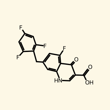 O=C(O)c1c[nH]c2cc(Cc3c(F)cc(F)cc3F)cc(F)c2c1=O